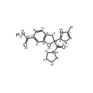 Cc1csc(C2(C(=O)N3CCCC3)Cc3ccc(C(N)=O)cc3O2)n1